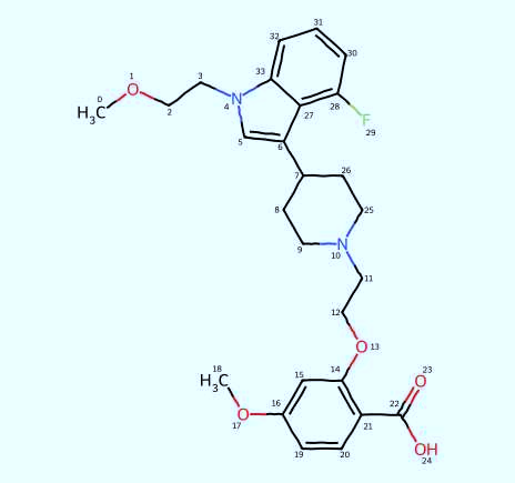 COCCn1cc(C2CCN(CCOc3cc(OC)ccc3C(=O)O)CC2)c2c(F)cccc21